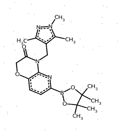 Cc1nn(C)c(C)c1CN1C(=O)COc2ccc(B3OC(C)(C)C(C)(C)O3)nc21